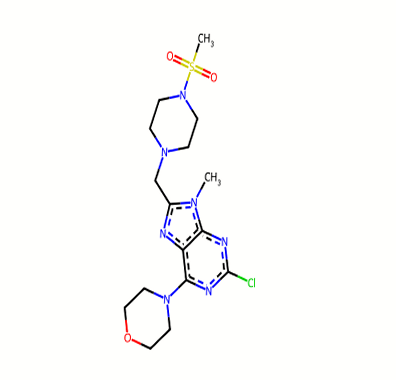 Cn1c(CN2CCN(S(C)(=O)=O)CC2)nc2c(N3CCOCC3)nc(Cl)nc21